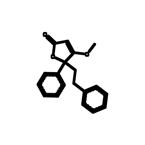 COC1=CC(=O)OC1(CCc1ccccc1)c1ccccc1